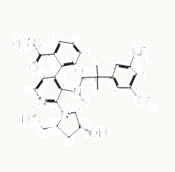 CN(C(=O)C(C)(C)c1cc(C(F)(F)F)cc(C(F)(F)F)c1)c1c(-c2ccccc2C(N)=O)ccnc1N1C[C@@H](O)C[C@H]1CO